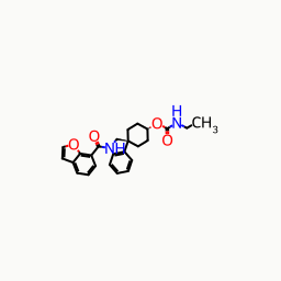 CCNC(=O)O[C@H]1CC[C@@](CNC(=O)c2cccc3ccoc23)(c2ccccc2)CC1